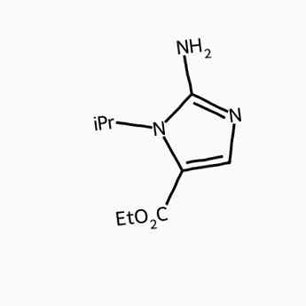 CCOC(=O)c1cnc(N)n1C(C)C